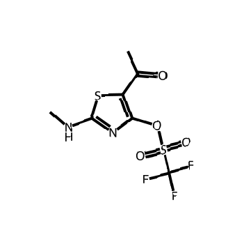 CNc1nc(OS(=O)(=O)C(F)(F)F)c(C(C)=O)s1